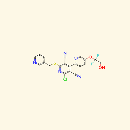 N#Cc1c(Cl)nc(SCc2cccnc2)c(C#N)c1-c1ccc(OC(F)(F)CO)cn1